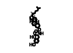 CC(C)CCC[C@@H](C)[C@H]1CC[C@H]2[C@@H]3CC=C4C[C@@H](OC(=O)NC(Cc5ccc(O)cc5)C(=O)O)CC[C@]4(C)[C@H]3CC[C@]12C